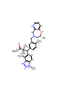 CC[C@@H]1CN(Cc2cc(C(c3ccc4c(nnn4C)c3C)C(C)(C)C(=O)OC)ccc2C)Cc2ncccc2O1